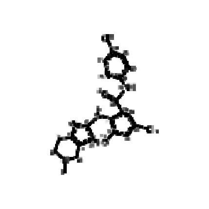 CN1CCc2nc(Nc3c(O)cc(Cl)cc3C(=O)Nc3ccc(Cl)cn3)sc2C1